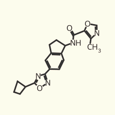 Cc1ncoc1C(=O)NC1CCc2cc(-c3noc(C4CCC4)n3)ccc21